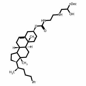 CCCCCCCCCCC(O)CNCCNC(=O)O[C@H]1CC[C@@]2(C)C(=CC[C@H]3C4CC[C@H]([C@H](C)CCCC(C)C)[C@@]4(C)CC[C@@H]32)C1